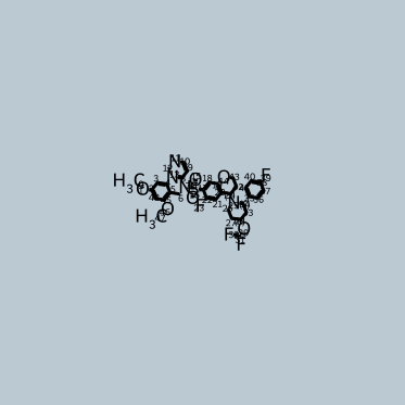 COc1ccc(CN(c2ccncn2)S(=O)(=O)c2cc3c(cc2F)[C@@H](N2CC[C@@H](OC(F)F)C[C@H]2c2ccc(F)cc2)CCO3)c(OC)c1